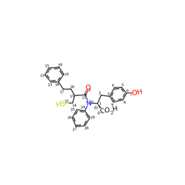 O=C(O)[C@H](Cc1ccc(O)cc1)N(C(=O)C(CS)CCc1ccccc1)c1ccccc1